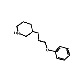 [c]1cccc(OCCCC2CCCNC2)c1